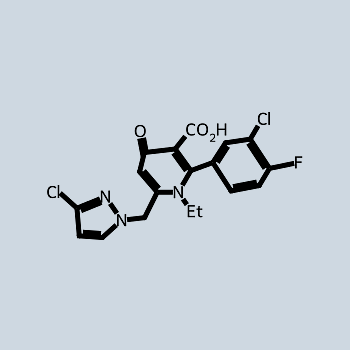 CCn1c(Cn2ccc(Cl)n2)cc(=O)c(C(=O)O)c1-c1ccc(F)c(Cl)c1